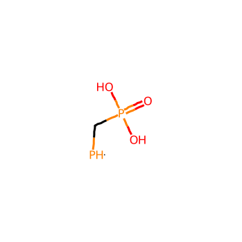 O=P(O)(O)C[PH]